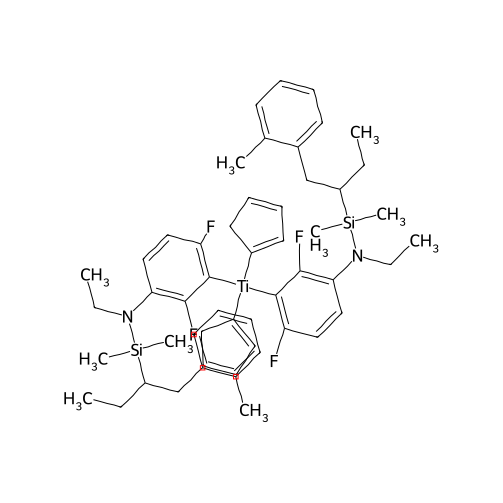 CCC(Cc1ccccc1C)[Si](C)(C)N(CC)c1ccc(F)[c]([Ti]([C]2=CC=CC2)([C]2=CC=CC2)[c]2c(F)ccc(N(CC)[Si](C)(C)C(CC)Cc3ccccc3C)c2F)c1F